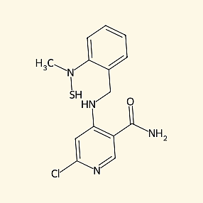 CN(S)c1ccccc1CNc1cc(Cl)ncc1C(N)=O